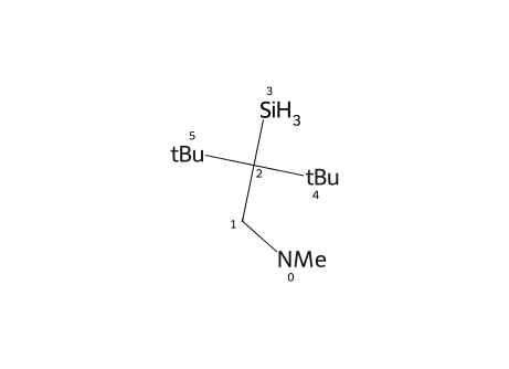 CNCC([SiH3])(C(C)(C)C)C(C)(C)C